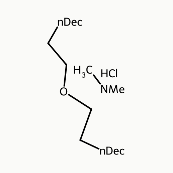 CCCCCCCCCCCCOCCCCCCCCCCCC.CNC.Cl